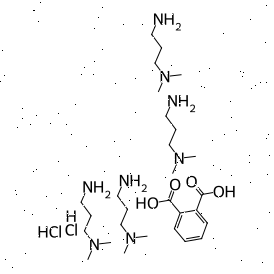 CN(C)CCCN.CN(C)CCCN.CN(C)CCCN.CN(C)CCCN.Cl.Cl.O=C(O)c1ccccc1C(=O)O